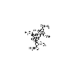 CCCCOc1cc(C(N)=O)cc2nc(NC)n(C/C=C/Cn3c(NC(=O)c4cc(C)nn4CCC)nc4cc(C(N)=O)cc(OCCCC)c43)c12